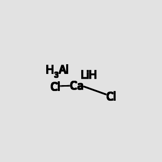 [AlH3].[Cl][Ca][Cl].[LiH]